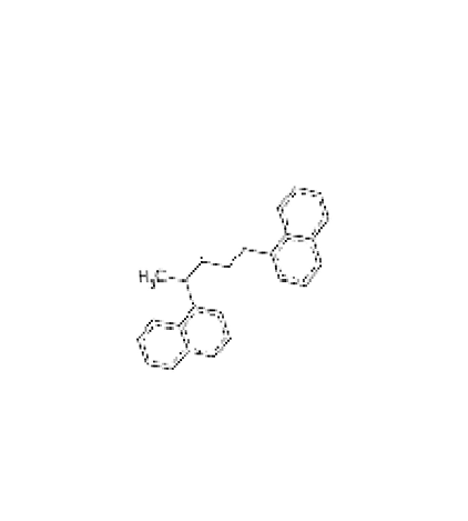 CC([CH]CCc1cccc2ccccc12)c1cccc2ccccc12